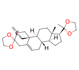 C=C=C[C@]12CCC3(CC1=CC[C@H]1[C@@H]4CC[C@H](C5(C)OCCO5)[C@@]4(C)CC[C@@H]12)OCCO3